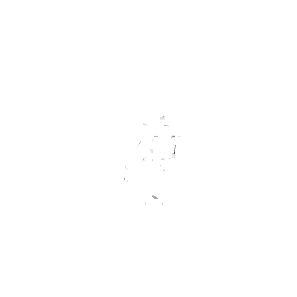 CC1=C[C@]23C(O)[C@@H](C=C(CO)[C@@H](O)[C@]2(O)[C@H]1OC(=O)N(C)C(C)CC#N)[C@H]1[C@@H](C[C@H]3C)C1(C)C